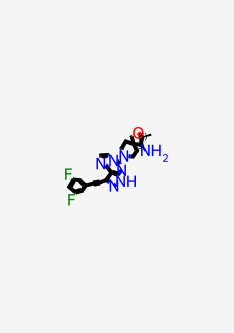 C[C@@H]1OCC2(CCN(c3nc4[nH]nc(C#Cc5cc(F)cc(F)c5)c4c4nccn34)CC2)[C@@H]1N